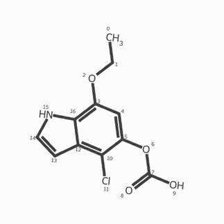 CCOc1cc(OC(=O)O)c(Cl)c2cc[nH]c12